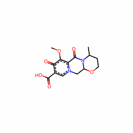 COc1c2n(cc(C(=O)O)c1=O)CC1OCCC(C)N1C2=O